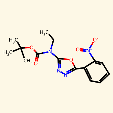 CCN(C(=O)OC(C)(C)C)c1nnc(-c2ccccc2[N+](=O)[O-])o1